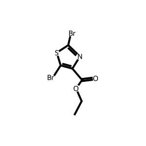 CCOC(=O)c1nc(Br)sc1Br